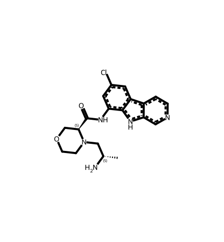 C[C@H](N)CN1CCOC[C@H]1C(=O)Nc1cc(Cl)cc2c1[nH]c1cnccc12